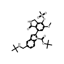 COc1cc(-c2cc3cc(CNC(C)(C)C)ccc3n2C(=O)OC(C)(C)C)c2c(c1OS(C)(=O)=O)CNC2=O